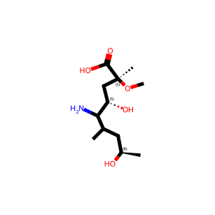 CO[C@@](C)(C[C@H](O)C(N)C(C)C[C@@H](C)O)C(=O)O